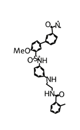 COc1ccc(-c2cccc(C(=O)N(C)C)c2)cc1[S+]([O-])Nc1cccc(NCCNC(=O)c2ccccc2C)c1